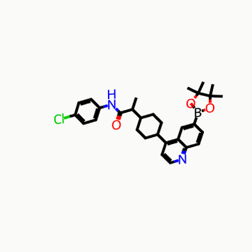 CC(C(=O)Nc1ccc(Cl)cc1)C1CCC(c2ccnc3ccc(B4OC(C)(C)C(C)(C)O4)cc23)CC1